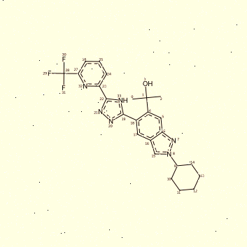 CC(C)(O)c1cc2nn(C3CCCCC3)cc2cc1-c1nnc(-c2cccc(C(F)(F)F)n2)[nH]1